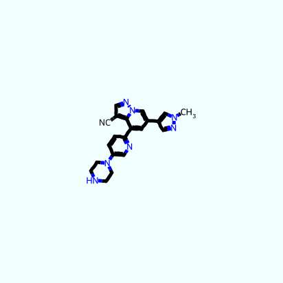 Cn1cc(-c2cc(-c3ccc(N4CCNCC4)cn3)c3c(C#N)cnn3c2)cn1